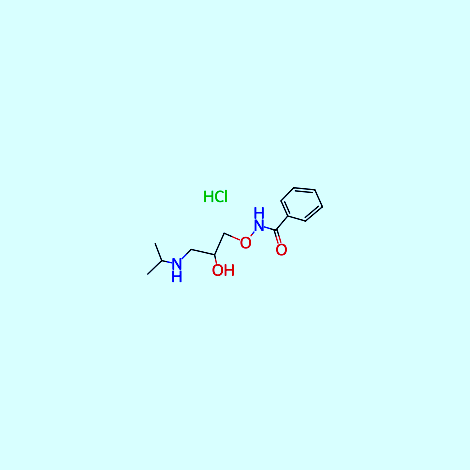 CC(C)NCC(O)CONC(=O)c1ccccc1.Cl